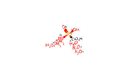 O.O.O.O.O.O.O=C(O)P(=O)(O)O